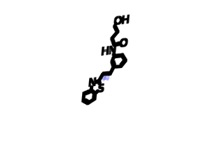 O=C(CCCO)Nc1cccc(/C=C/c2nc3ccccc3s2)c1